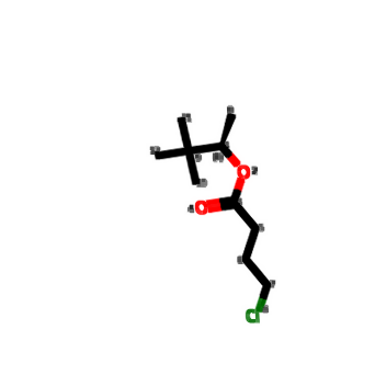 C[C@@H](OC(=O)CCCCl)C(C)(C)C